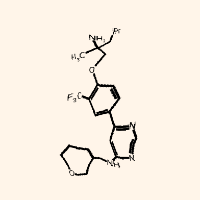 CC(C)CC(C)(N)COc1ccc(-c2cc(NC3CCCOC3)ncn2)cc1C(F)(F)F